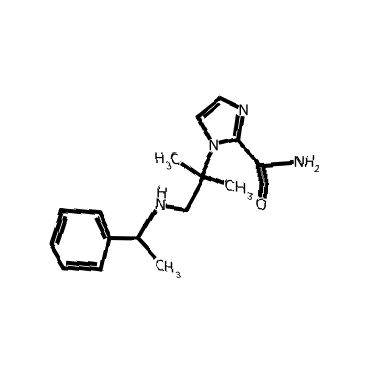 CC(NCC(C)(C)n1c[c]nc1C(N)=O)c1ccccc1